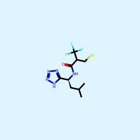 CC(C)C[C@H](NC(=O)C(CS)C(F)(F)F)c1nnn[nH]1